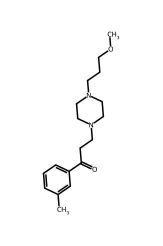 COCCCN1CCN(CCC(=O)c2cccc(C)c2)CC1